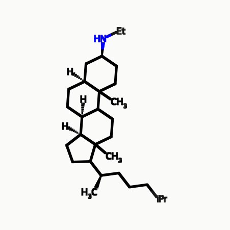 CCN[C@H]1CCC2(C)C3CCC4(C)C([C@H](C)CCCC(C)C)CC[C@H]4[C@H]3CC[C@H]2C1